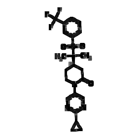 CC(C)([C@@H]1CCN(c2cnc(C3CC3)nc2)C(=O)C1)S(=O)(=O)c1cccc(C(F)(F)F)c1